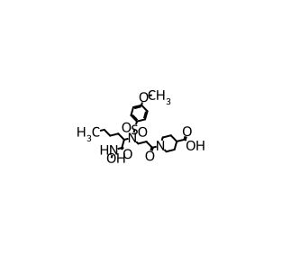 CCCCC(C(=O)NO)N(CCC(=O)N1CCC(C(=O)O)CC1)S(=O)(=O)c1ccc(OC)cc1